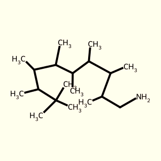 CC(CN)C(C)C(C)C(C)C(C)C(C)C(C)C(C)(C)C